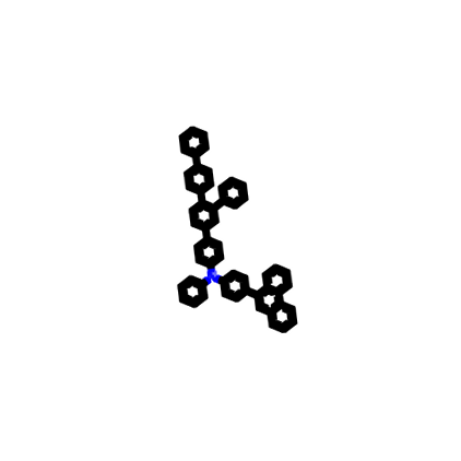 c1ccc(-c2ccc(-c3ccc(-c4ccc(N(c5ccccc5)c5ccc(-c6cc7ccccc7c7ccccc67)cc5)cc4)cc3-c3ccccc3)cc2)cc1